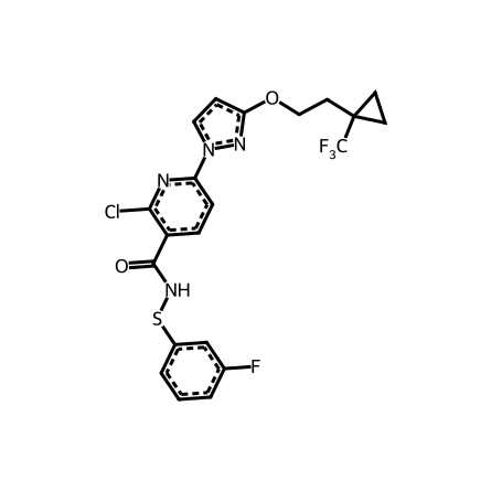 O=C(NSc1cccc(F)c1)c1ccc(-n2ccc(OCCC3(C(F)(F)F)CC3)n2)nc1Cl